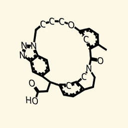 Cc1ccc2cc1C(=O)N1CCc3ccc(cc3C1)C(CC(=O)O)c1ccc3c(c1)nnn3CCCCO2